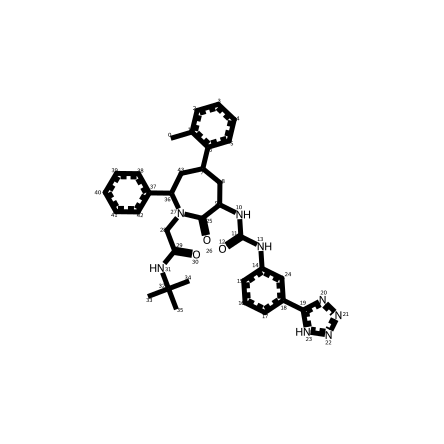 Cc1ccccc1C1CC(NC(=O)Nc2cccc(-c3nnn[nH]3)c2)C(=O)N(CC(=O)NC(C)(C)C)C(c2ccccc2)C1